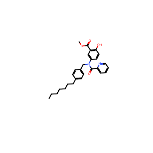 CCCCCCCc1ccc(CN(C(=O)c2ccccn2)c2ccc(O)c(C(=O)OC)c2)cc1